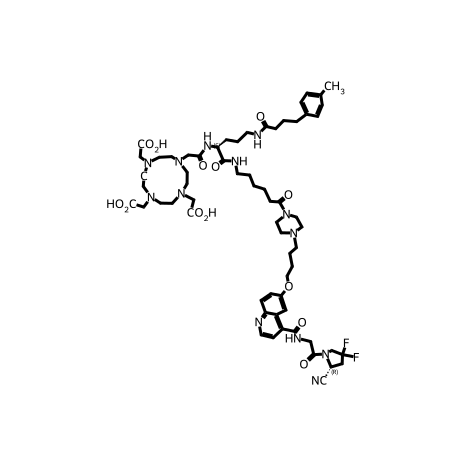 Cc1ccc(CCCC(=O)NCCC[C@H](NC(=O)CN2CCN(CC(=O)O)CCN(CC(=O)O)CCN(CC(=O)O)CC2)C(=O)NCCCCCC(=O)N2CCN(CCCCOc3ccc4nccc(C(=O)NCC(=O)N5CC(F)(F)C[C@@H]5C#N)c4c3)CC2)cc1